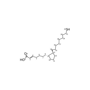 O=C(O)C=CCCCC[C@H]1CCC[C@@H]1CCCCCCCCS